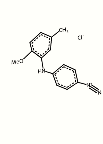 COc1ccc(C)cc1Nc1ccc([N+]#N)cc1.[Cl-]